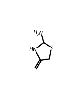 C=C1CSC(N)N1